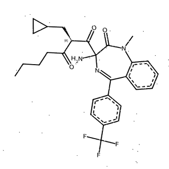 CCCCC(=O)[C@@H](CC1CC1)C(=O)C1(N)N=C(c2ccc(C(F)(F)F)cc2)c2ccccc2N(C)C1=O